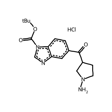 CC(C)(C)OC(=O)n1cnc2cc(C(=O)C3CCN(N)C3)ccc21.Cl